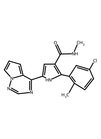 CNC(=O)c1cc(-c2ncnn3cccc23)[nH]c1-c1cc(Cl)ccc1C